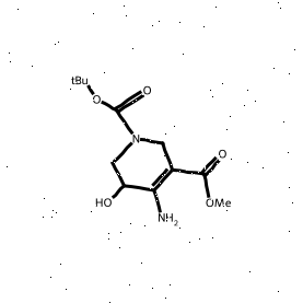 COC(=O)C1=C(N)C(O)CN(C(=O)OC(C)(C)C)C1